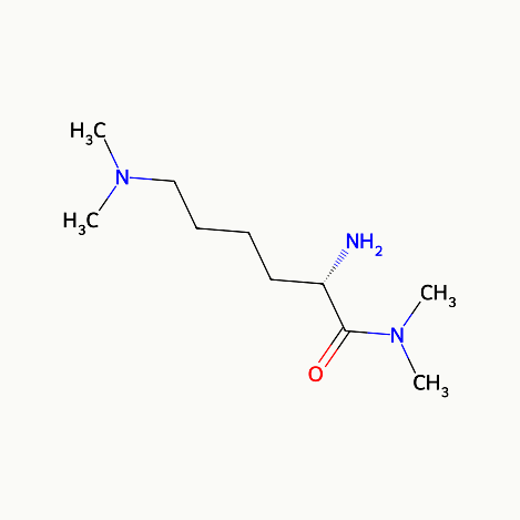 CN(C)CCCC[C@H](N)C(=O)N(C)C